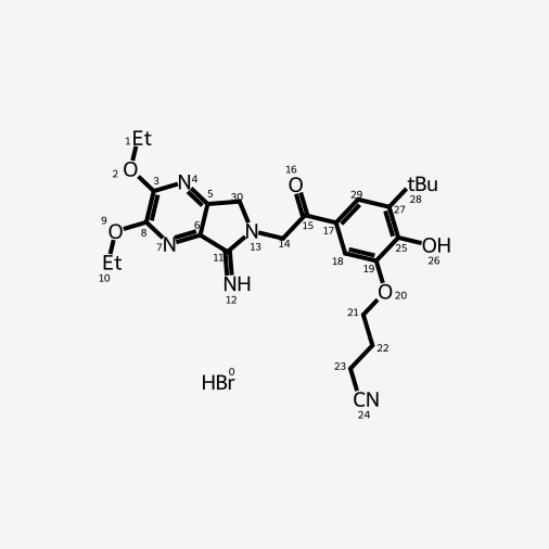 Br.CCOc1nc2c(nc1OCC)C(=N)N(CC(=O)c1cc(OCCCC#N)c(O)c(C(C)(C)C)c1)C2